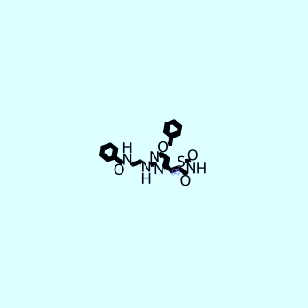 O=C1NC(=O)/C(=C/c2cc(OCc3ccccc3)nc(NCCNC(=O)c3ccccc3)n2)S1